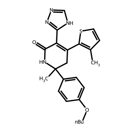 CCCCOc1ccc(C2(C)CC(c3sccc3C)=C(c3nnc[nH]3)C(=O)N2)cc1